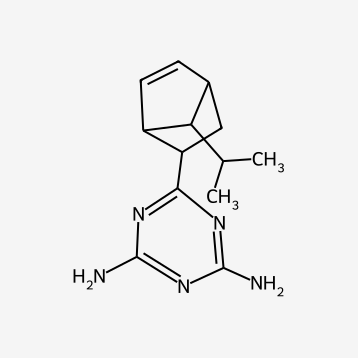 CC(C)C1C2C=CC1C(c1nc(N)nc(N)n1)C2